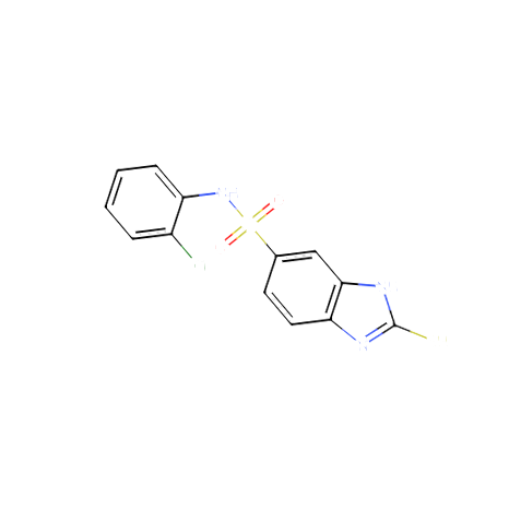 O=S(=O)(Nc1ccccc1Cl)c1ccc2nc(S)[nH]c2c1